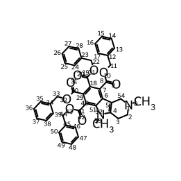 CN1CCc2c(c3c(C(=O)OCc4ccccc4)c(C(=O)OCc4ccccc4)c(C(=O)OCc4ccccc4)c(C(=O)OCc4ccccc4)c3n2C)C1